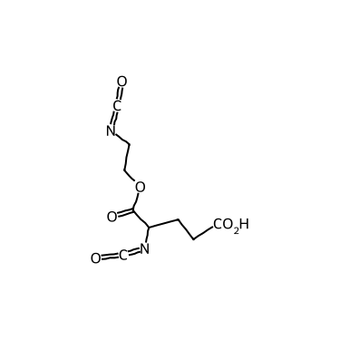 O=C=NCCOC(=O)C(CCC(=O)O)N=C=O